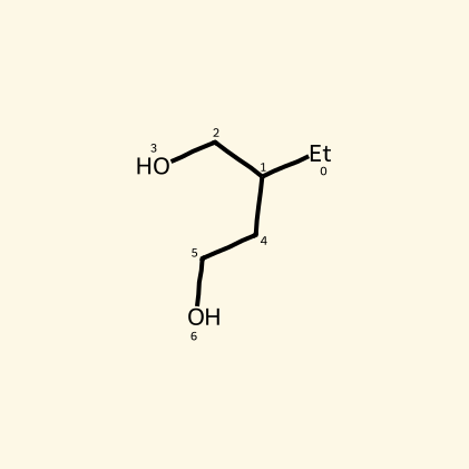 [CH2]CC(CO)CCO